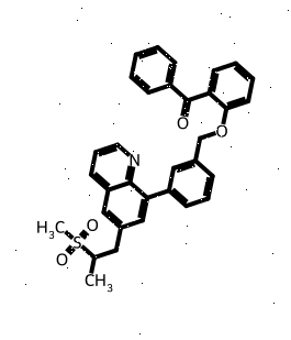 CC(Cc1cc(-c2cccc(COc3ccccc3C(=O)c3ccccc3)c2)c2ncccc2c1)S(C)(=O)=O